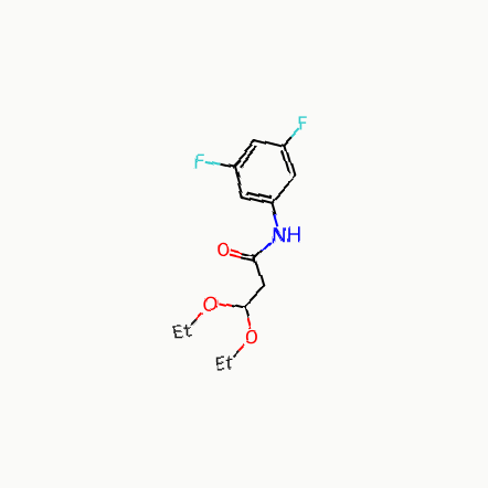 CCOC(CC(=O)Nc1cc(F)cc(F)c1)OCC